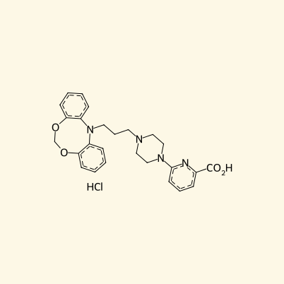 Cl.O=C(O)c1cccc(N2CCN(CCCN3c4ccccc4OCOc4ccccc43)CC2)n1